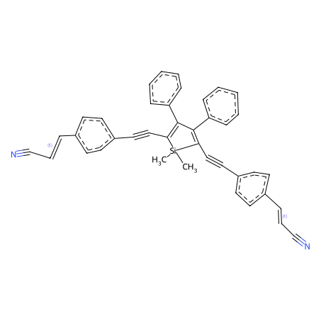 C[Si]1(C)C(C#Cc2ccc(/C=C/C#N)cc2)=C(c2ccccc2)C(c2ccccc2)=C1C#Cc1ccc(/C=C/C#N)cc1